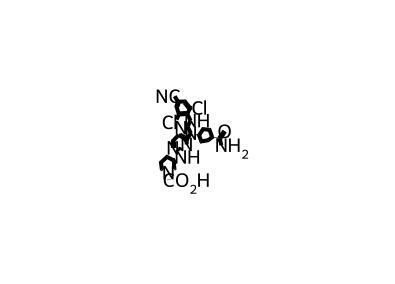 N#Cc1cc(Cl)c(Nc2nc3cnc(NC4CCCN(C(=O)O)C4)nc3n2[C@H]2CC[C@@H](C(N)=O)CC2)c(Cl)c1